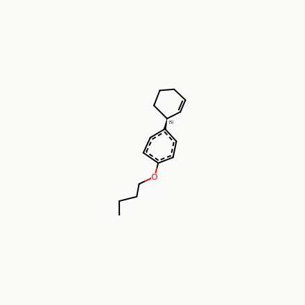 CCCCOc1ccc([C@@H]2C=CCCC2)cc1